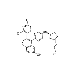 Oc1ccc2c(c1)C(c1ccc(N[C@H]3CCN(CCCF)C3)cc1)=C(c1ccc(F)cc1Cl)CC2